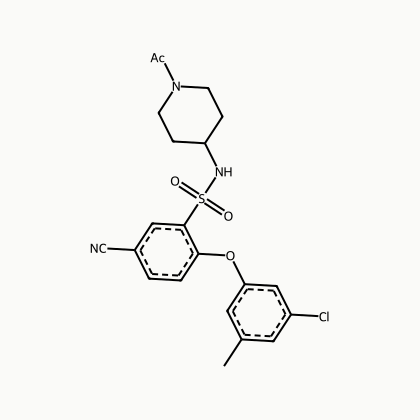 CC(=O)N1CCC(NS(=O)(=O)c2cc(C#N)ccc2Oc2cc(C)cc(Cl)c2)CC1